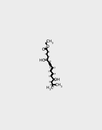 CCOC(=O)CCC[C@H](O)C#C/C=C/C=C/[C@H](O)CC(C)C